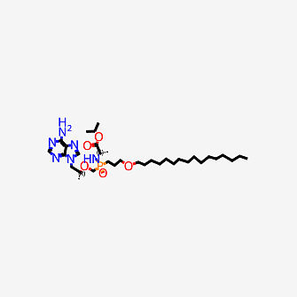 CCCCCCCCCCCCCCCCOCCCP(=O)(CO[C@H](C)Cn1cnc2c(N)ncnc21)N[C@@H](C)C(=O)OC(C)C